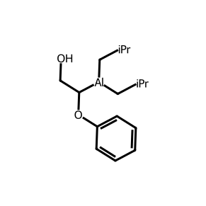 CC(C)[CH2][Al]([CH2]C(C)C)[CH](CO)Oc1ccccc1